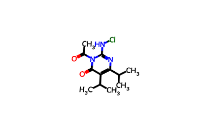 CC(=O)n1c(NCl)nc(C(C)C)c(C(C)C)c1=O